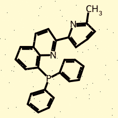 Cc1cccc(-c2ccc3cccc(P(c4ccccc4)c4ccccc4)c3n2)n1